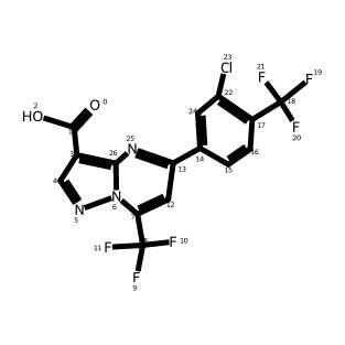 O=C(O)c1cnn2c(C(F)(F)F)cc(-c3ccc(C(F)(F)F)c(Cl)c3)nc12